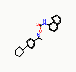 C/C(=N\OC(=O)Nc1cccc2ccccc12)c1ccc(C2CCCCC2)cc1